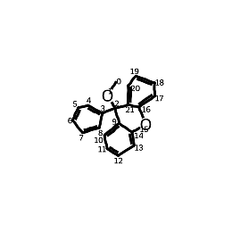 COC1(c2ccccc2)c2ccccc2Oc2ccccc21